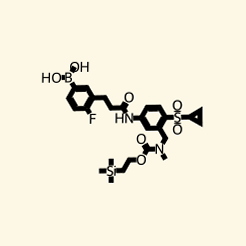 CN(Cc1cc(NC(=O)CCc2cc(B(O)O)ccc2F)ccc1S(=O)(=O)C1CC1)C(=O)OCC[Si](C)(C)C